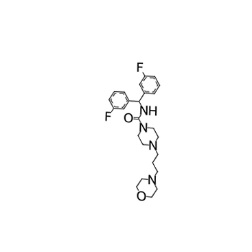 O=C(NC(c1cccc(F)c1)c1cccc(F)c1)N1CCN(CCCN2CCOCC2)CC1